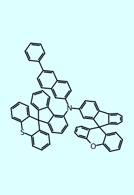 c1ccc(-c2ccc3cc(N(c4ccc5c(c4)C4(c6ccccc6Oc6ccccc64)c4ccccc4-5)c4cccc5c4-c4ccccc4C54c5ccccc5Sc5ccccc54)ccc3c2)cc1